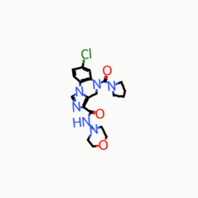 O=C(NN1CCOCC1)c1ncn2c1CN(C(=O)N1CCCC1)c1cc(Cl)ccc1-2